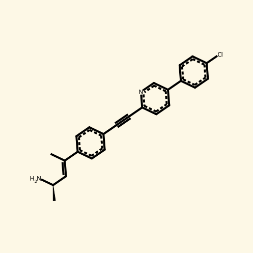 CC(=C[C@@H](C)N)c1ccc(C#Cc2ccc(-c3ccc(Cl)cc3)cn2)cc1